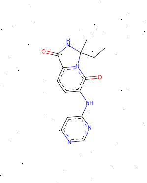 CCC1(C)NC(=O)c2ccc(Nc3ccncn3)c(=O)n21